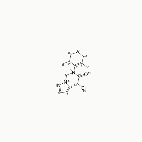 CC1=C(N(Cn2cccn2)C(=O)CCl)C(C)CCC1